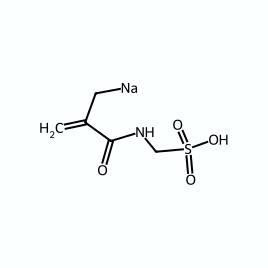 C=C([CH2][Na])C(=O)NCS(=O)(=O)O